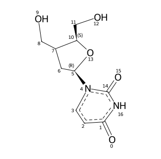 O=c1ccn([C@H]2CC(CO)[C@@H](CO)O2)c(=O)[nH]1